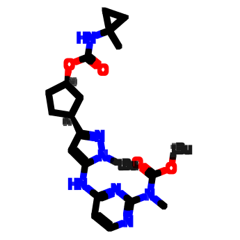 CN(C(=O)OC(C)(C)C)c1nccc(Nc2cc([C@H]3CC[C@@H](OC(=O)NC4(C)CC4)C3)nn2C(C)(C)C)n1